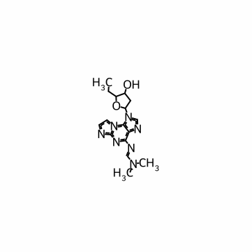 CCC1OC(n2cnc3c(N=CN(C)C)nc4nccn4c32)CC1O